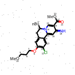 CCCCC1Cc2cc(OCCCOC)c(Cl)cc2-c2cc(=N)c(C(=O)OC)cn21